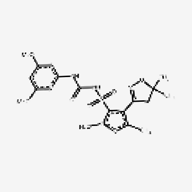 COc1cc(OC)nc(NC(=O)NS(=O)(=O)c2c(C3=NOC(C)(C)C3)c(C)nn2C)n1